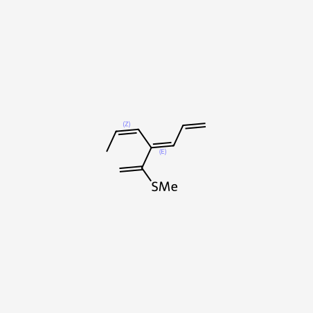 C=C/C=C(\C=C/C)C(=C)SC